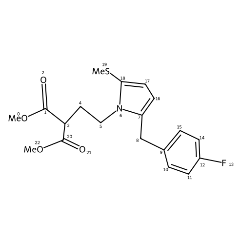 COC(=O)C(CCn1c(Cc2ccc(F)cc2)ccc1SC)C(=O)OC